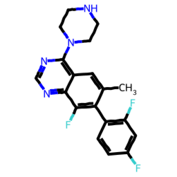 Cc1cc2c(N3CCNCC3)ncnc2c(F)c1-c1ccc(F)cc1F